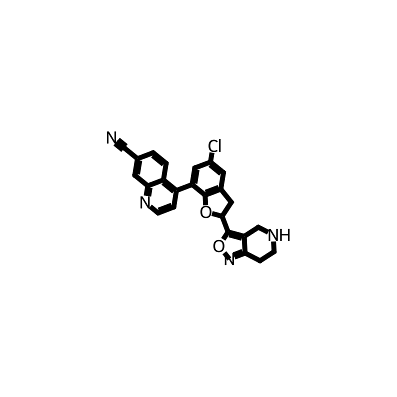 N#Cc1ccc2c(-c3cc(Cl)cc4c3OC(c3onc5c3CNCC5)C4)ccnc2c1